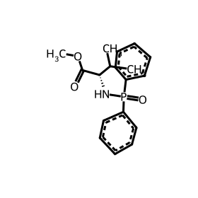 COC(=O)[C@@H](NP(=O)(c1ccccc1)c1ccccc1)C(C)C